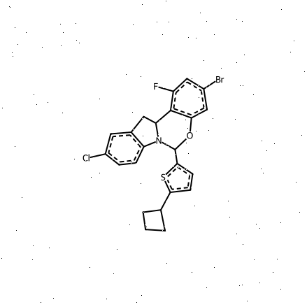 Fc1cc(Br)cc2c1C1Cc3cc(Cl)ccc3N1C(c1ccc(C3CCC3)s1)O2